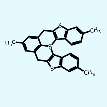 Cc1cc2c3c(c1)Cc1sc4cc(C)ccc4c1B3c1c(sc3cc(C)ccc13)C2